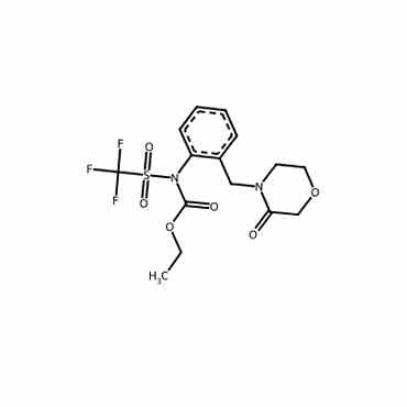 CCOC(=O)N(c1ccccc1CN1CCOCC1=O)S(=O)(=O)C(F)(F)F